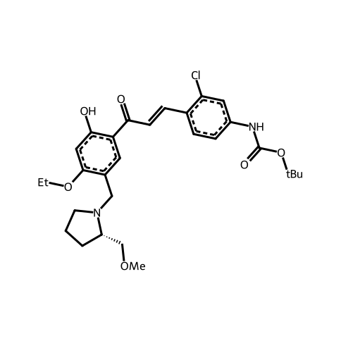 CCOc1cc(O)c(C(=O)/C=C/c2ccc(NC(=O)OC(C)(C)C)cc2Cl)cc1CN1CCC[C@H]1COC